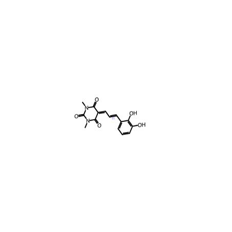 CN1C(=O)C(=C/C=C/c2cccc(O)c2O)C(=O)N(C)C1=O